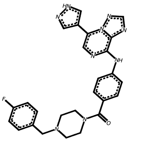 O=C(c1ccc(Nc2ncc(-c3cn[nH]c3)n3ncnc23)cc1)N1CCN(Cc2ccc(F)cc2)CC1